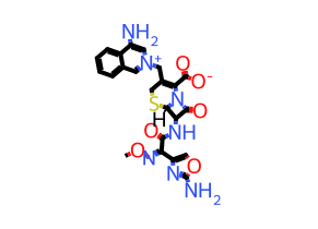 CO/N=C(\C(=O)NC1C(=O)N2C(C(=O)[O-])=C(C[n+]3cc(N)c4ccccc4c3)CS[C@H]12)c1coc(N)n1